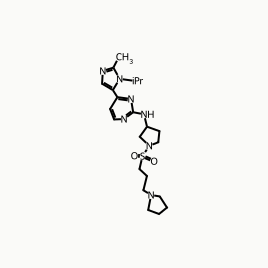 Cc1ncc(-c2ccnc(NC3CCN(S(=O)(=O)CCCN4CCCC4)C3)n2)n1C(C)C